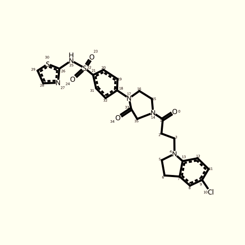 O=C(CCN1CCc2cc(Cl)ccc21)N1CCN(c2ccc(S(=O)(=O)Nc3nccs3)cc2)C(=O)C1